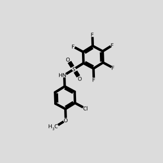 COc1ccc(NS(=O)(=O)c2c(F)c(F)c(F)c(F)c2F)cc1Cl